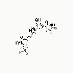 Cc1cn(C2CC(n3cc(CCCC(=O)N(CCC(C)(C)C(C)C)C(C)C)nn3)C(CO)O2)c(=O)[nH]c1=O